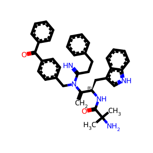 C=C([C@@H](Cc1c[nH]c2ccccc12)NC(=O)C(C)(C)N)N(Cc1ccc(C(=O)c2ccccc2)cc1)C(=N)CCc1ccccc1